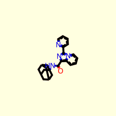 O=C(NC12CC3CC(CC(C3)C1)C2)c1nc(-c2ccccn2)n2ccccc12